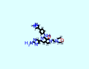 Cn1cc(-c2ccc(Nc3nc(-c4cnc(N)nc4)cc4ccn(CCN5CCOCC5)c(=O)c34)cc2)cn1